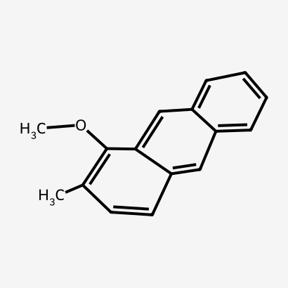 COc1c(C)ccc2cc3ccccc3cc12